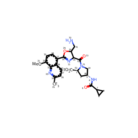 CCOC(=O)[C@@H]1C[C@@H](NC(=O)C2CC2)CN1C(=O)C1N=C(c2ccc(OC)c3nc(C(F)(F)F)ccc23)OC1CN